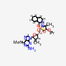 CNc1nc(N)nc2c1ncn2[C@@H]1O[C@H](COP(=S)(N[C@H](C)C(=O)OC(C)C)Oc2cccc3ccccc23)C[C@@H]1C